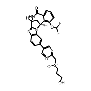 O=C1N[C@@H]2C[C@H](c3c(OC(F)F)cccc31)n1c2nc2ccc(-c3cnc(C[S@+]([O-])CCCO)nc3)cc21